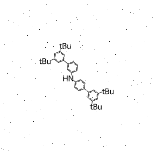 CC(C)(C)c1cc(-c2ccc(Nc3cccc(-c4cc(C(C)(C)C)cc(C(C)(C)C)c4)c3)cc2)cc(C(C)(C)C)c1